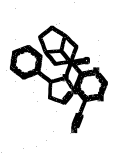 N#Cc1cc(N2CC3CCC(C2)C3C(=O)N2N=CCC2c2ccccc2)ncn1